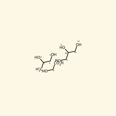 CC(O)CO.O=C(O)CO.OCC(O)CO